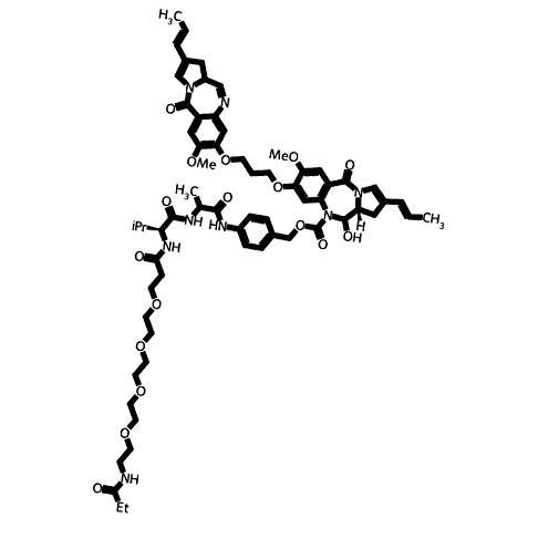 C/C=C/C1=CN2C(=O)c3cc(OC)c(OCCCOc4cc5c(cc4OC)C(=O)N4C=C(/C=C/C)C[C@@H]4C(O)N5C(=O)OCc4ccc(NC(=O)C(C)NC(=O)[C@@H](NC(=O)CCOCCOCCOCCOCCNC(=O)CC)C(C)C)cc4)cc3N=CC2C1